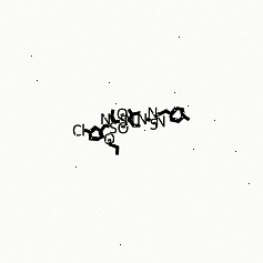 CCCOc1ccc(Cl)cc1-c1nc(C)c(S(=O)(=O)N2CCN(c3nc(Cc4ccc(C)cc4)ns3)CC2C)s1